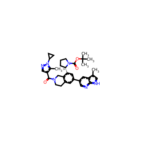 Cc1c[nH]c2ncc(-c3cc4c(c([C@@H]5CCCN5C(=O)OC(C)(C)C)c3)CN(C(=O)c3cnn(C5CC5)c3C)CC4)cc12